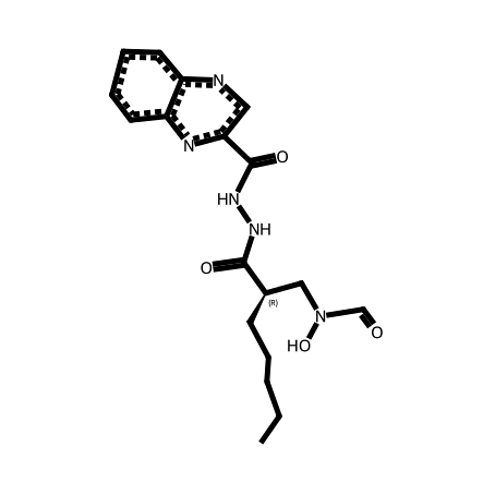 CCCCC[C@H](CN(O)C=O)C(=O)NNC(=O)c1cnc2ccccc2n1